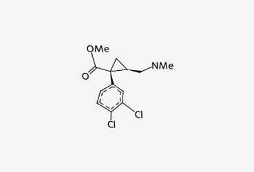 CNC[C@@H]1C[C@]1(C(=O)OC)c1ccc(Cl)c(Cl)c1